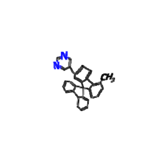 Cc1cccc2c1-c1ccc(-c3cncnc3)cc1C21c2ccccc2-c2ccccc21